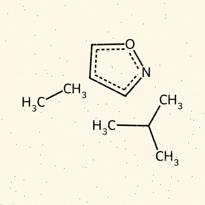 CC.CC(C)C.c1cnoc1